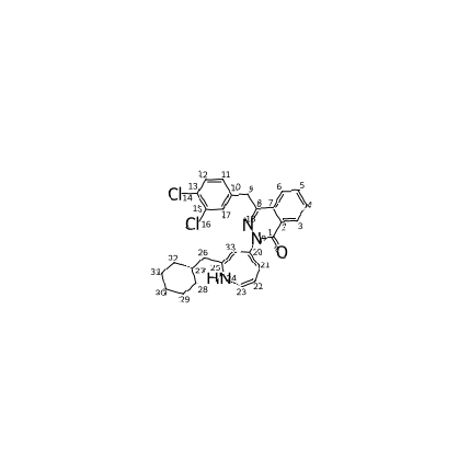 O=c1c2ccccc2c(Cc2ccc(Cl)c(Cl)c2)nn1C1=CC=CNC(CC2CCCCC2)=C1